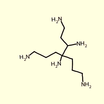 NCCCC(N)(CCCN)C(N)CCN